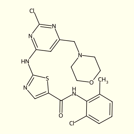 Cc1cccc(Cl)c1NC(=O)c1cnc(Nc2cc(CN3CCOCC3)nc(Cl)n2)s1